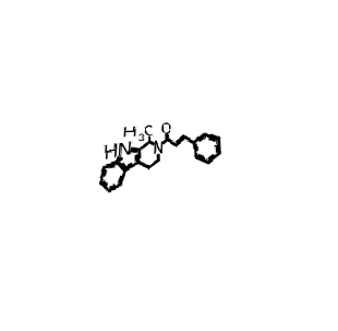 CC1c2[nH]c3ccccc3c2CCN1C(=O)/C=C/c1ccccc1